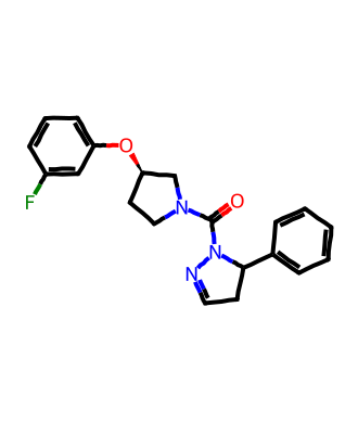 O=C(N1CC[C@@H](Oc2cccc(F)c2)C1)N1N=CCC1c1ccccc1